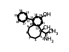 CC(N)C1(C)CCCCCc2c(-c3ccccc3)cc(O)cc21